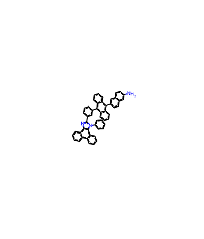 Nc1ccc2cc(-c3c4ccccc4c(-c4cccc(-c5nc6c7ccccc7c7ccccc7c6n5-c5ccccc5)c4)c4ccccc34)ccc2c1